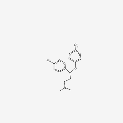 CN(C)CCC(Oc1ccc(C(F)(F)F)cc1)c1ccc(C#N)cc1